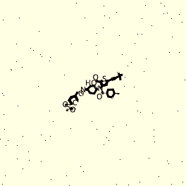 CC(C)(C)C#Cc1cc(N(C(=O)[C@H]2CC[C@H](C)CC2)C2CCC(=NOCc3ccc(S(C)(=O)=O)cc3)CC2)c(C(=O)O)s1